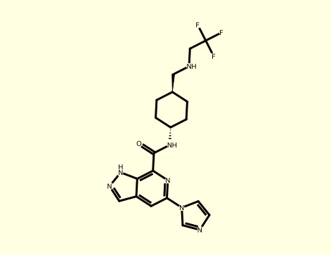 O=C(N[C@H]1CC[C@H](CNCC(F)(F)F)CC1)c1nc(-n2ccnc2)cc2cn[nH]c12